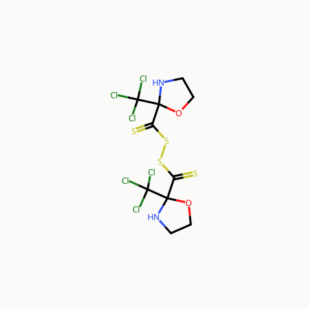 S=C(SSC(=S)C1(C(Cl)(Cl)Cl)NCCO1)C1(C(Cl)(Cl)Cl)NCCO1